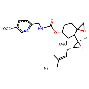 CO[C@@H]1[C@H](OC(=O)NCc2ccc(C(=O)[O-])cn2)CC[C@]2(CO2)[C@H]1[C@@]1(C)O[C@@H]1CC=C(C)C.[Na+]